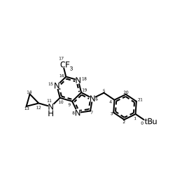 CC(C)(C)c1ccc(Cn2cnc3c(NC4CC4)nc(C(F)(F)F)nc32)cc1